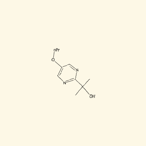 CCCOc1cnc(C(C)(C)O)nc1